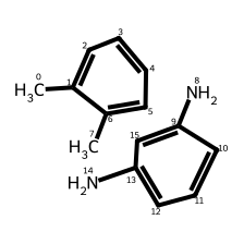 Cc1ccccc1C.Nc1cccc(N)c1